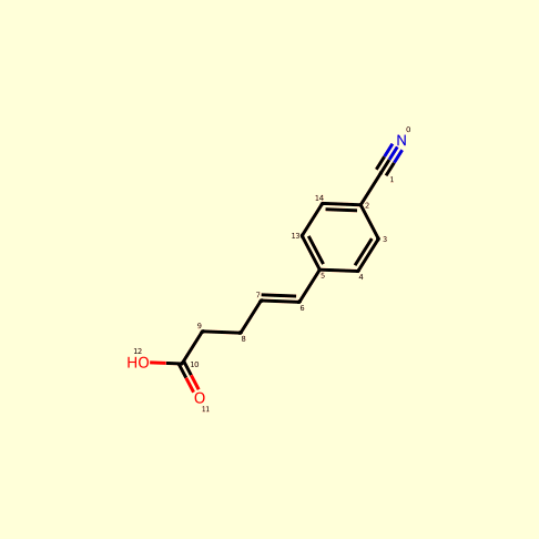 N#Cc1ccc(C=CCCC(=O)O)cc1